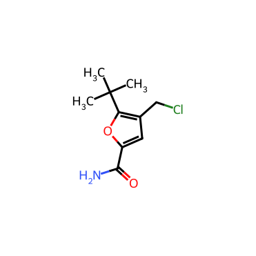 CC(C)(C)c1oc(C(N)=O)cc1CCl